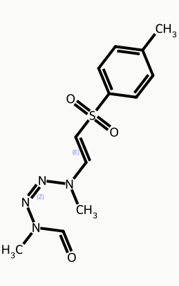 Cc1ccc(S(=O)(=O)/C=C/N(C)/N=N\N(C)C=O)cc1